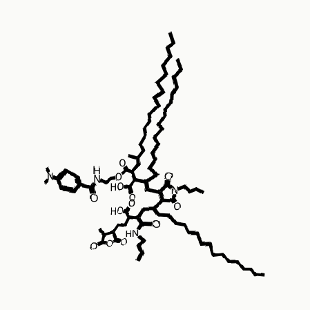 CCCCCCCCCCCCCCCCC(C)CC(C(=O)OCCNC(=O)c1ccc(N(C)C)cc1)C(C(=O)O)C(CCCCCCCCCCCCCCCC)CC1C(=O)N(CCCC)C(=O)C1C(CCCCCCCCCCCCCCCC)CC(C(=O)NCCCC)C(CCC1C(=O)OC(=O)C1C)C(=O)O